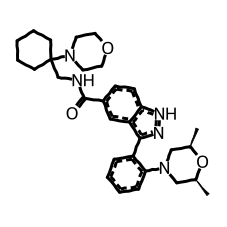 C[C@@H]1CN(c2ccccc2-c2n[nH]c3ccc(C(=O)NCC4(N5CCOCC5)CCCCC4)cc23)C[C@H](C)O1